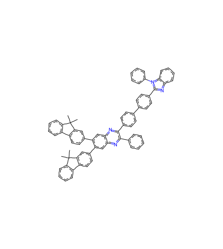 CC1(C)c2ccccc2-c2ccc(-c3cc4nc(-c5ccccc5)c(-c5ccc(-c6ccc(-c7nc8ccccc8n7-c7ccccc7)cc6)cc5)nc4cc3-c3ccc4c(c3)C(C)(C)c3ccccc3-4)cc21